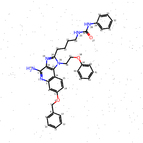 Nc1nc2cc(OCc3ccccc3)ccc2c2c1nc(CCCCNC(=O)Nc1ccccc1)n2CCOc1ccccc1